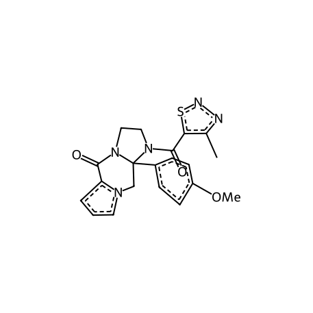 COc1ccc(C23Cn4cccc4C(=O)N2CCN3C(=O)c2snnc2C)cc1